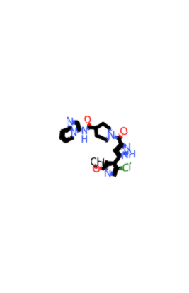 COc1cc(-c2cc(C(=O)N3CCC(C(=O)Nc4cnc5ccccn45)CC3)n[nH]2)c(Cl)cn1